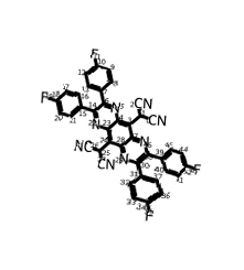 N#CC(C#N)c1c2nc(-c3ccc(F)cc3)c(-c3ccc(F)cc3)nc2c(C(C#N)C#N)c2nc(-c3ccc(F)cc3)c(-c3ccc(F)cc3)nc12